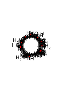 CCCC[C@H]1C(O)N(C)[C@@H](CCCC)C(=O)N[C@@H](CC(C)C)C(=O)N[C@H](C(=O)NCC(N)=O)CSCC(=O)N[C@@H](Cc2ccc(O)cc2)C(=O)N(C)[C@@H](C)C(=O)N[C@@H](CC(N)=O)C(=O)N2CCC[C@H]2C(=O)N[C@@H](CN)C(=O)N[C@@H](CCC(=O)O)C(=O)N2CC(O)C[C@H]2C(=O)N[C@@H](Cc2c[nH]c3ccccc23)C(=O)N[C@@H](CCN)C(=O)NC(Cc2cn(CC(O)O)c3ccccc23)C(=O)N1C